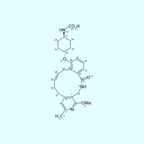 COc1nc(C)cc2c1CNC(=O)c1cccc(O[C@H]3CC[C@H](NC(=O)O)CC3)c1CC=CCC2